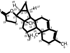 CC1=CC2=CCC3C([C@@H](F)C[C@@]4(C)C3[C@@H]3C[C@@H]3[C@@]43CCC(=O)O3)[C@@]2(C)CC1